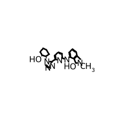 CN1Cc2cccc(Nc3cccc(-c4nncn4[C@@H]4CCCC[C@H]4O)n3)c2C1=O